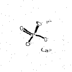 O=P([O-])([O-])[O-].[H+].[La+3]